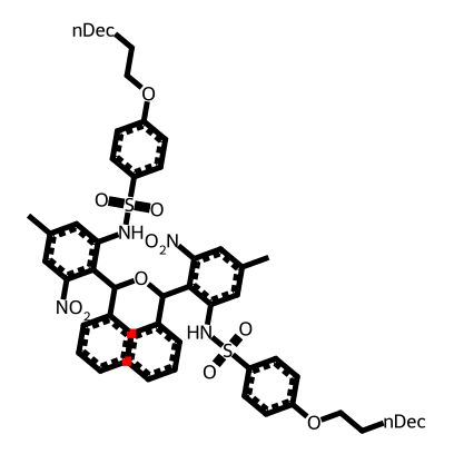 CCCCCCCCCCCCOc1ccc(S(=O)(=O)Nc2cc(C)cc([N+](=O)[O-])c2C(OC(c2ccccc2)c2c(NS(=O)(=O)c3ccc(OCCCCCCCCCCCC)cc3)cc(C)cc2[N+](=O)[O-])c2ccccc2)cc1